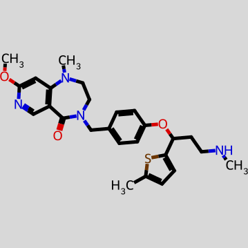 CNCCC(Oc1ccc(CN2CCN(C)c3cc(OC)ncc3C2=O)cc1)c1ccc(C)s1